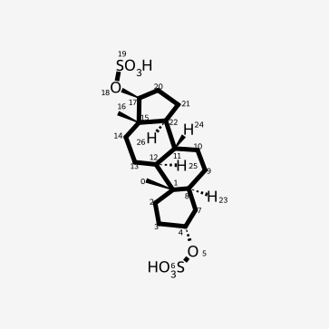 C[C@]12CC[C@@H](OS(=O)(=O)O)C[C@@H]1CC[C@@H]1[C@@H]2CC[C@]2(C)[C@@H](OS(=O)(=O)O)CC[C@@H]12